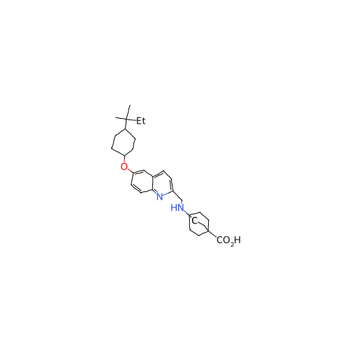 CCC(C)(C)C1CCC(Oc2ccc3nc(CNC45CCC(C(=O)O)(CC4)CC5)ccc3c2)CC1